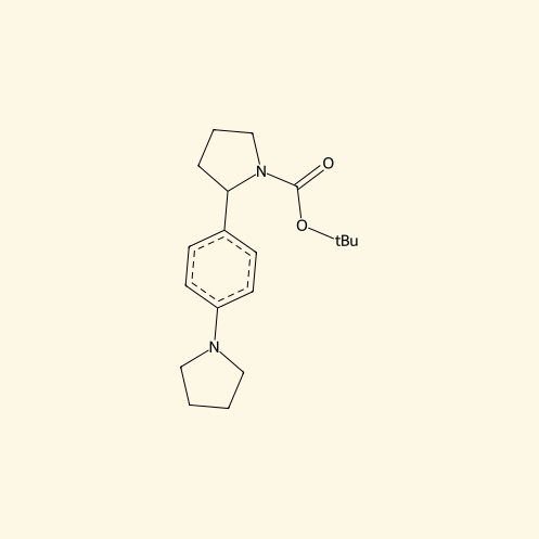 CC(C)(C)OC(=O)N1CCCC1c1ccc(N2CCCC2)cc1